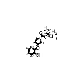 CC(C)(C)OC(=O)N1CC[C@H](Oc2ncccc2O)C1